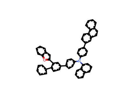 c1ccc(-c2ccc(-c3ccc(N(c4ccc(-c5ccc6c(ccc7ccccc76)c5)cc4)c4cccc5ccccc45)cc3)cc2-c2cc3ccccc3o2)cc1